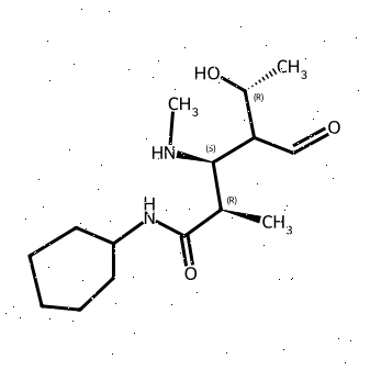 CN[C@@H](C(C=O)[C@@H](C)O)[C@@H](C)C(=O)NC1CCCCC1